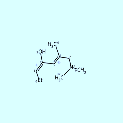 CC/C=C(O)\C=C(/C)CN(C)C